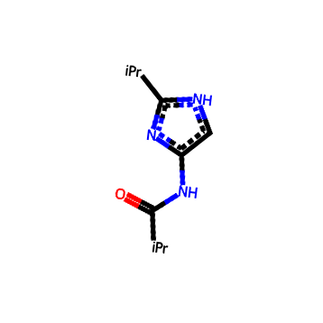 CC(C)C(=O)Nc1c[nH]c(C(C)C)n1